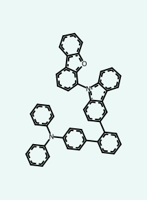 c1ccc(N(c2ccccc2)c2ccc(-c3ccccc3-c3ccc4c(c3)c3ccccc3n4-c3cccc4c3oc3ccccc34)cc2)cc1